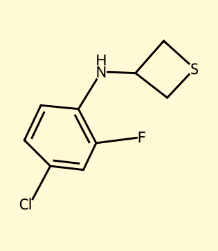 Fc1cc(Cl)ccc1NC1CSC1